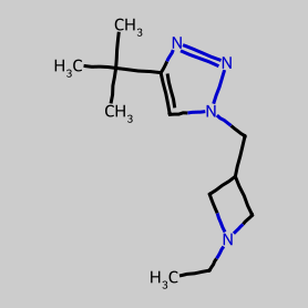 CCN1CC(Cn2cc(C(C)(C)C)nn2)C1